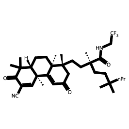 CCCC(C)(C)CC[C@@](C)(CC[C@]1(C)CC(=O)C=C2[C@@]3(C)C=C(C#N)C(=O)C(C)(C)[C@@H]3CC[C@]21C)C(=O)NCC(F)(F)F